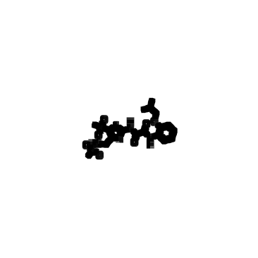 CC(C)COc1ccccc1NC(=O)C(=O)Nc1nc(CNS(C)(=O)=O)c(S(C)(=O)=O)s1